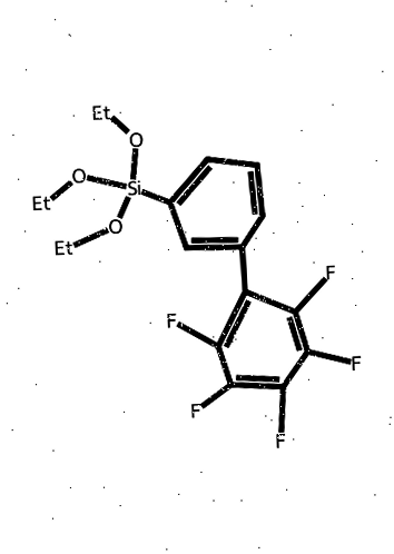 CCO[Si](OCC)(OCC)c1cccc(-c2c(F)c(F)c(F)c(F)c2F)c1